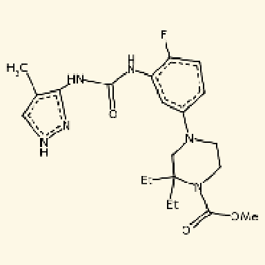 CCC1(CC)CN(c2ccc(F)c(NC(=O)Nc3n[nH]cc3C)c2)CCN1C(=O)OC